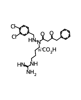 N=C(N)NCCC[C@@H](C(=O)O)N(NCc1ccc(Cl)c(Cl)c1)C(=O)CC(=O)Cc1ccccc1